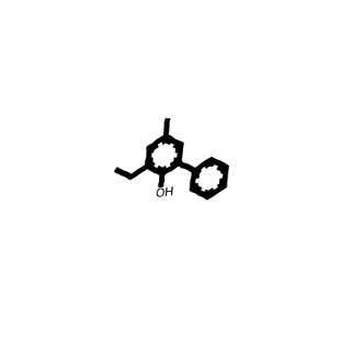 CCc1cc(C)cc(-c2ccccc2)c1O